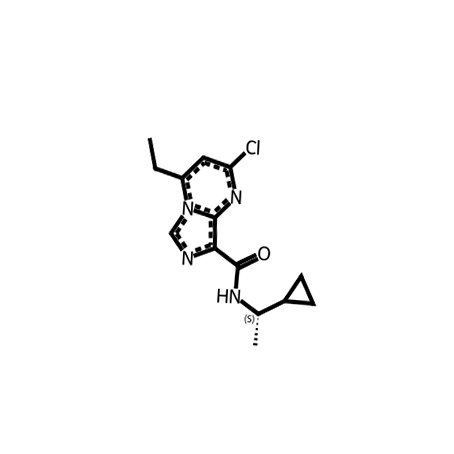 CCc1cc(Cl)nc2c(C(=O)N[C@@H](C)C3CC3)ncn12